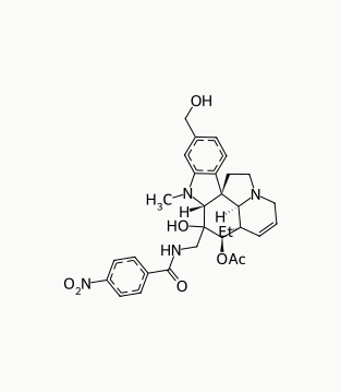 CC[C@]12C=CCN3CC[C@@]4(c5ccc(CO)cc5N(C)[C@H]4C(O)(CNC(=O)c4ccc([N+](=O)[O-])cc4)[C@@H]1OC(C)=O)[C@@H]32